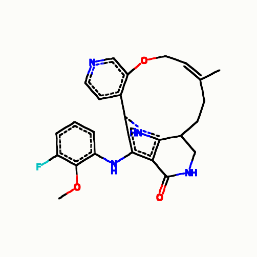 COc1c(F)cccc1Nc1c2[nH]c3c1C(=O)NCC3CC/C(C)=C\COc1cnccc1-2